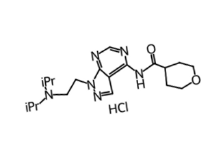 CC(C)N(CCn1ncc2c(NC(=O)C3CCOCC3)ncnc21)C(C)C.Cl